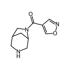 O=C(c1cnoc1)N1CC2CNCC1C2